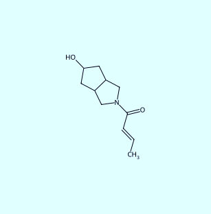 CC=CC(=O)N1CC2CC(O)CC2C1